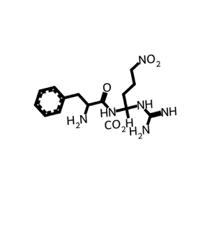 N=C(N)NC(CCC[N+](=O)[O-])(NC(=O)C(N)Cc1ccccc1)C(=O)O